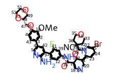 COc1cc(-c2cnc(N)c(-c3ccc(NC(=O)C4=CN=CC(=C5C=CC(Br)=CN5CC5(C#N)CCOCC5)C4=O)cc3F)c2)ccc1OC[C@H]1COCCO1